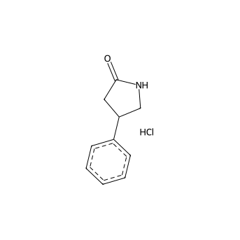 Cl.O=C1CC(c2ccccc2)CN1